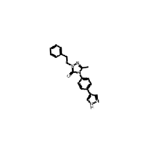 Cc1nn(CCc2ccccc2)c(=O)n1-c1ccc(-c2cn[nH]c2)cc1